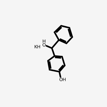 Oc1ccc(C(O)c2ccccc2)cc1.[KH]